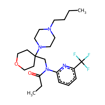 CCCCN1CCN(C2(CN(C(=O)CC)c3cccc(C(F)(F)F)n3)CCOCC2)CC1